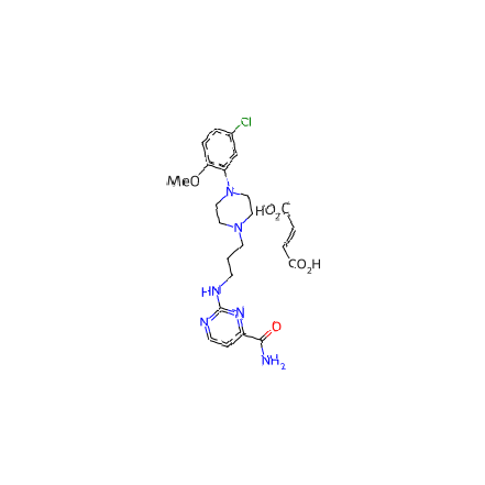 COc1ccc(Cl)cc1N1CCN(CCCNc2nccc(C(N)=O)n2)CC1.O=C(O)C=CC(=O)O